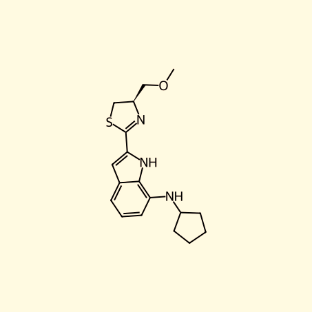 COC[C@@H]1CSC(c2cc3cccc(NC4CCCC4)c3[nH]2)=N1